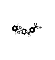 O=C(O)c1ccc(C(=O)N2CCN(S(=O)(=O)c3c(F)cccc3F)CC2)cc1